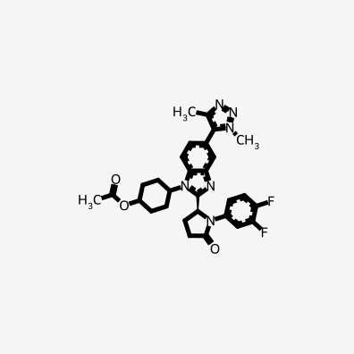 CC(=O)OC1CCC(n2c([C@@H]3CCC(=O)N3c3ccc(F)c(F)c3)nc3cc(-c4c(C)nnn4C)ccc32)CC1